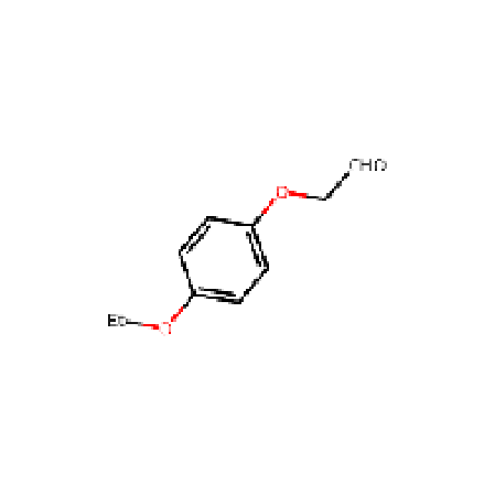 CCOc1ccc(OCC=O)cc1